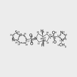 Cn1ccnc1S(=O)(=O)[C@H]1C[C@@H]2CN(S(=O)(=O)c3ccc4ncsc4c3)C[C@@H]2C1